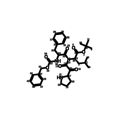 CC(C)C[C@H](C(=O)OC(C)(C)C)N(C(=O)C(=O)C1CCCN1)C(=O)C(Cc1ccccc1)NC(=O)OCc1ccccc1